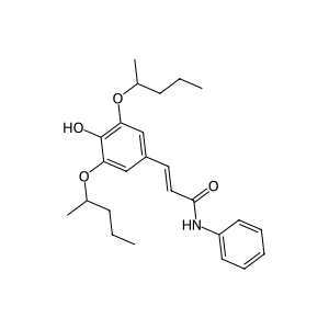 CCCC(C)Oc1cc(/C=C/C(=O)Nc2ccccc2)cc(OC(C)CCC)c1O